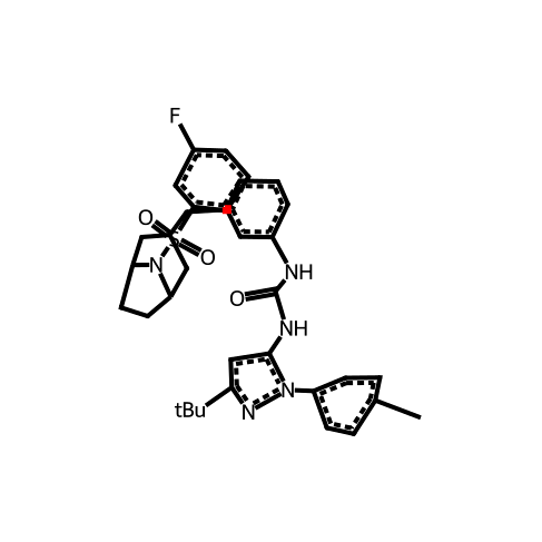 Cc1ccc(-n2nc(C(C)(C)C)cc2NC(=O)Nc2cccc(CC3CC4CCC(C3)N4S(=O)(=O)c3cccc(F)c3)c2)cc1